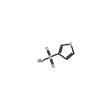 CC(C)(C)S(=O)(=O)c1ccsc1